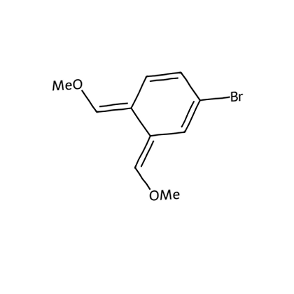 COC=c1ccc(Br)cc1=COC